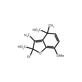 CCC1(C(=O)O)OC2=C(OC)C=CC(C)(C(=O)O)C2=C1C